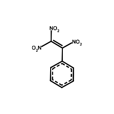 O=[N+]([O-])C(=C([N+](=O)[O-])[N+](=O)[O-])c1ccccc1